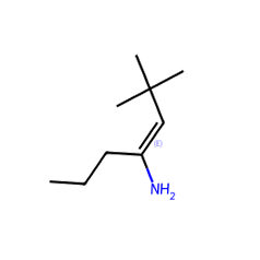 CCC/C(N)=C\C(C)(C)C